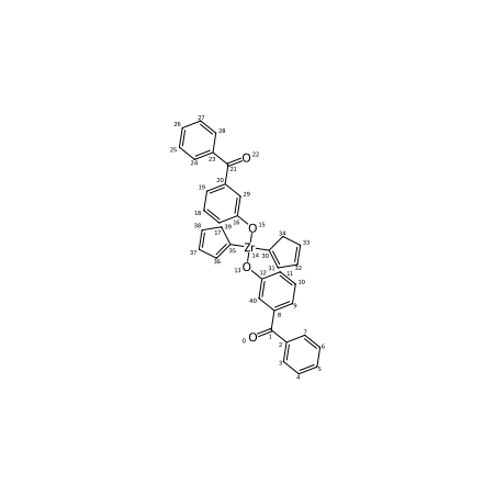 O=C(c1ccccc1)c1cccc([O][Zr]([O]c2cccc(C(=O)c3ccccc3)c2)([C]2=CC=CC2)[C]2=CC=CC2)c1